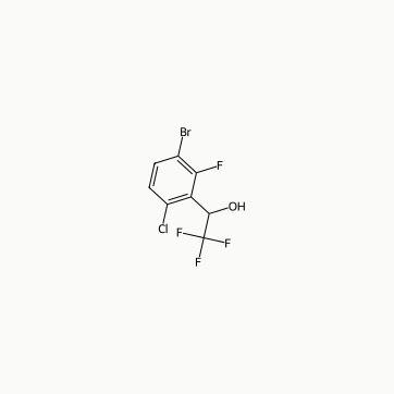 OC(c1c(Cl)ccc(Br)c1F)C(F)(F)F